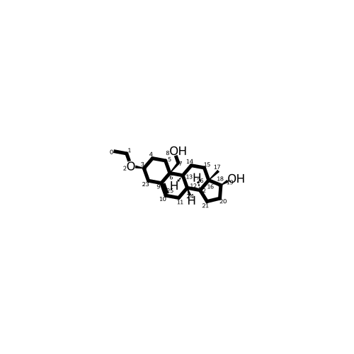 CCO[C@H]1CC[C@@]2(CO)C(=CC[C@@H]3[C@@H]2CC[C@]2(C)[C@@H](O)CC[C@@H]32)C1